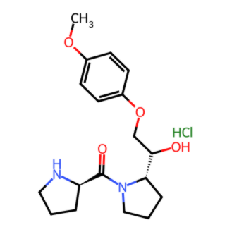 COc1ccc(OCC(O)[C@@H]2CCCN2C(=O)[C@H]2CCCN2)cc1.Cl